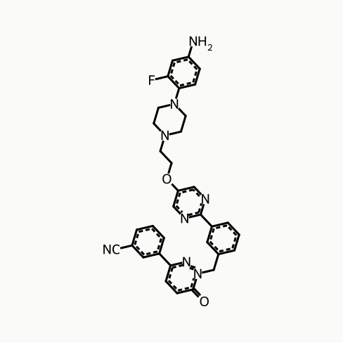 N#Cc1cccc(-c2ccc(=O)n(Cc3cccc(-c4ncc(OCCN5CCN(c6ccc(N)cc6F)CC5)cn4)c3)n2)c1